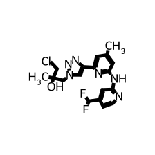 Cc1cc(Nc2cc(C(F)F)ccn2)nc(-c2cn(CC(C)(O)CCl)nn2)c1